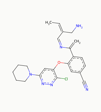 C=C(/N=C\C(=C/C)CN)c1ccc(C#N)cc1Oc1cc(N2CCCCC2)nnc1Cl